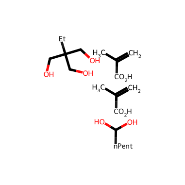 C=C(C)C(=O)O.C=C(C)C(=O)O.CCC(CO)(CO)CO.CCCCCC(O)O